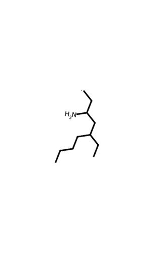 [CH2]CC(N)CC(CC)CCCC